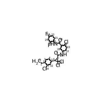 C=Cc1ccc(C2C(C(=O)Nc3ccc(Cl)c(C(=O)Nc4ccc(F)cc4F)c3)C2(Cl)Cl)cc1Cl